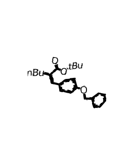 CCCCC(=Cc1ccc(OCc2ccccc2)cc1)C(=O)OC(C)(C)C